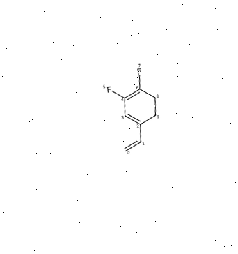 C=CC1=CC(F)=C(F)CC1